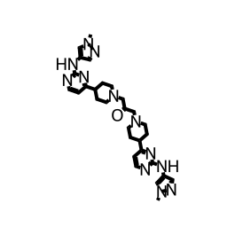 Cn1cc(Nc2nccc(C3CCN(CC(=O)CN4CCC(c5ccnc(Nc6cnn(C)c6)n5)CC4)CC3)n2)cn1